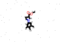 CCOC(=O)C1CCN(c2cc(C)c(C)c(C)c2)C1